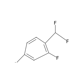 [CH2]c1ccc(C(F)F)c(F)c1